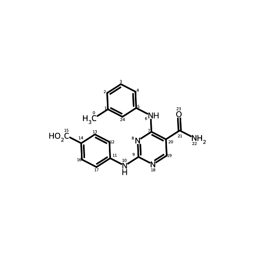 Cc1cccc(Nc2nc(Nc3ccc(C(=O)O)cc3)ncc2C(N)=O)c1